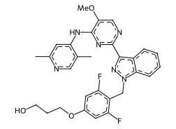 COc1cnc(-c2nn(Cc3c(F)cc(OCCCO)cc3F)c3ccccc23)nc1Nc1cc(C)ncc1C